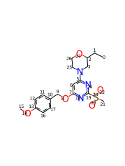 CCC1CN(c2cc(OCc3ccc(OC)cc3)nc(S(C)(=O)=O)n2)CCO1